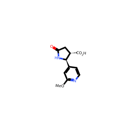 COc1cc([C@H]2NC(=O)C[C@@H]2C(=O)O)ccn1